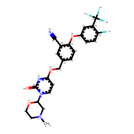 CN1CCOC(n2ccc(OCc3ccc(Oc4ccc(F)c(C(F)(F)F)c4)c(C#N)c3)nc2=O)C1